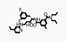 CCCN(CCC)C(=O)c1cc(C)cc(C(=O)N[C@@H](Cc2cc(F)cc(F)c2)[C@H](O)CCNc2cc(CC)ccn2)c1